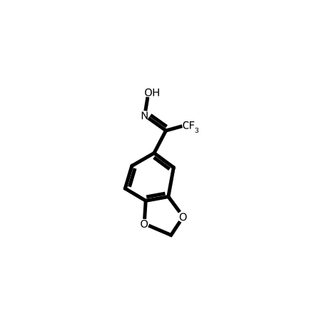 ON=C(c1ccc2c(c1)OCO2)C(F)(F)F